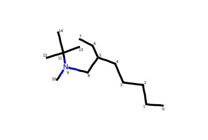 CCCCCC(CC)CN(C)C(C)(C)C